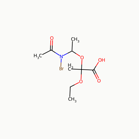 CCOC(C)(OC(C)N(Br)C(C)=O)C(=O)O